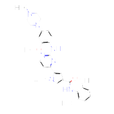 COc1cc(N2CCN(C)CC2)ccc1Nc1nccc(-c2cc(C(=O)Nc3c(C)cccc3C)cn2C)n1